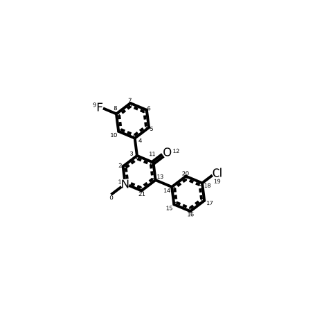 Cn1cc(-c2cccc(F)c2)c(=O)c(-c2cccc(Cl)c2)c1